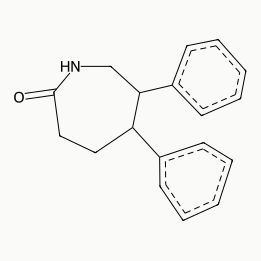 O=C1CCC(c2ccccc2)C(c2ccccc2)CN1